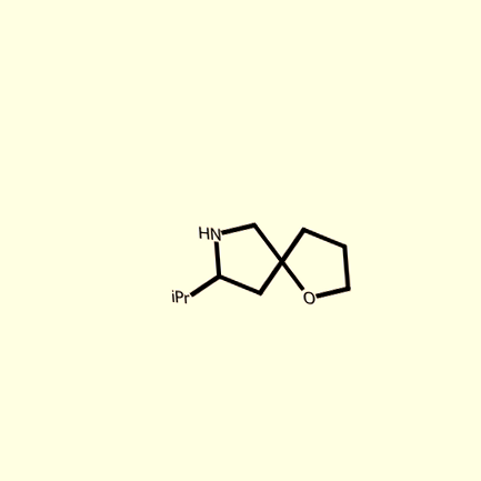 CC(C)C1CC2(CCCO2)CN1